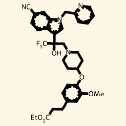 CCOC(=O)CCc1ccc(OC2CCN(CC(O)(c3cn(Cc4ccccn4)c4cc(C#N)ccc34)C(F)(F)F)CC2)c(OC)c1